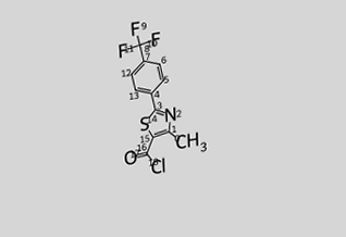 Cc1nc(-c2ccc(C(F)(F)F)cc2)sc1C(=O)Cl